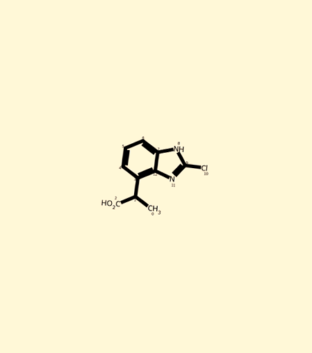 CC(C(=O)O)c1cccc2[nH]c(Cl)nc12